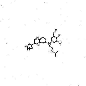 COc1cc(N(CCNC(C)C)c2ccc3ncc(-c4cnn(C)c4)nc3c2)cc(CF)c1F